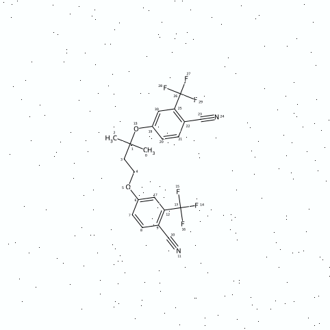 CC(C)(CCOc1ccc(C#N)c(C(F)(F)F)c1)Oc1ccc(C#N)c(C(F)(F)F)c1